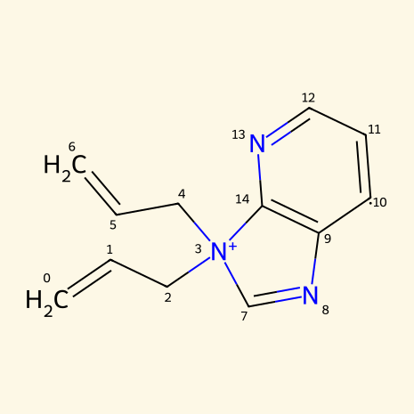 C=CC[N+]1(CC=C)C=Nc2[c]ccnc21